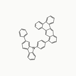 c1ccc(-c2ccc3c4ccccc4n(-c4ccc(-c5cccc6cc7c8ccccc8c8ccccc8c7cc56)cc4)c3c2)cc1